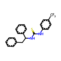 FC(F)(F)c1ccc(NC(=S)NC(Cc2ccccc2)c2ccccc2)cc1